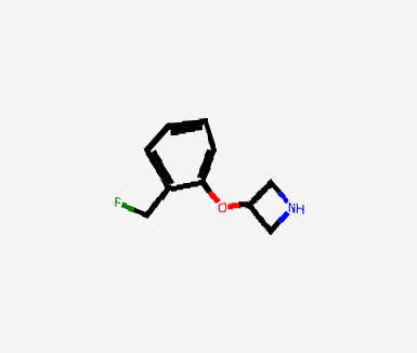 FCc1ccccc1OC1CNC1